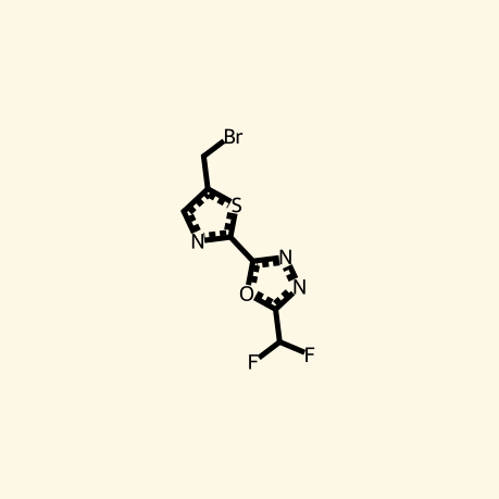 FC(F)c1nnc(-c2ncc(CBr)s2)o1